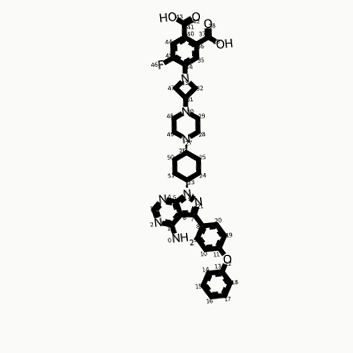 Nc1ncnc2c1c(-c1ccc(Oc3ccccc3)cc1)nn2[C@H]1CC[C@@H](N2CCN(C3CN(c4cc(C(=O)O)c(C(=O)O)cc4F)C3)CC2)CC1